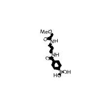 COCC(=O)NCCCNC(=O)c1ccc(B(O)O)cc1